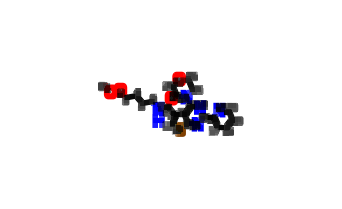 COOCCCCNC(=O)c1csc2nc(-c3ccccn3)nc(N3CCOCC3)c12